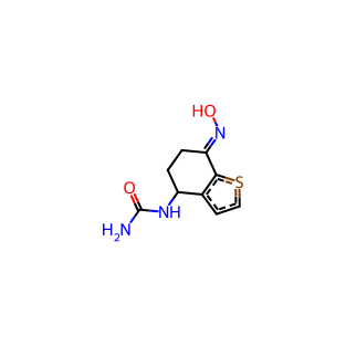 NC(=O)NC1CCC(=NO)c2sccc21